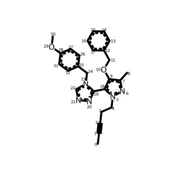 CC#CCCn1nc(C)c(OCc2ccccc2)c1-c1nncn1Cc1ccc(OC)cc1